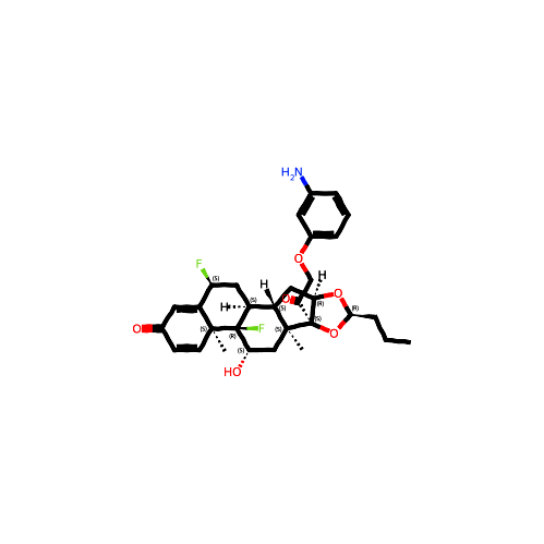 CCC[C@@H]1O[C@@H]2C[C@H]3[C@@H]4C[C@H](F)C5=CC(=O)C=C[C@]5(C)[C@@]4(F)[C@@H](O)C[C@]3(C)[C@]2(C(=O)COc2cccc(N)c2)O1